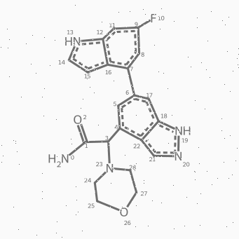 NC(=O)C(c1cc(-c2cc(F)cc3[nH]ccc23)cc2[nH]ncc12)N1CCOCC1